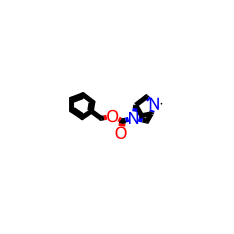 O=C(OCc1ccccc1)N1CC2CC1C[N]2